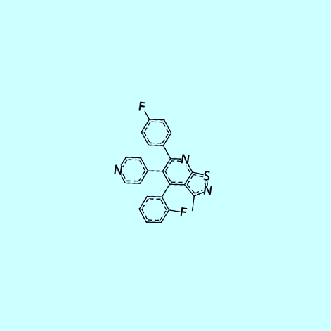 Cc1nsc2nc(-c3ccc(F)cc3)c(-c3ccncc3)c(-c3ccccc3F)c12